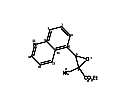 CCOC(=O)C1(C#N)OC1c1cccc2ncccc12